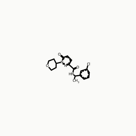 CC(NC(=O)c1ccc(=O)n(C2CCOCC2)n1)c1cccc(Cl)c1